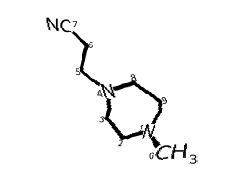 CN1CCN(CCC#N)CC1